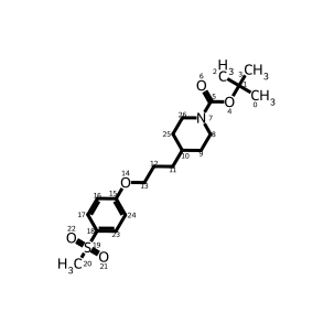 CC(C)(C)OC(=O)N1CCC(CCCOc2ccc(S(C)(=O)=O)cc2)CC1